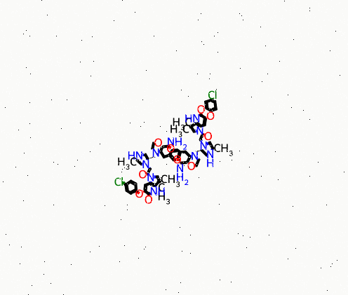 C[C@@H]1CN(CC(=O)N2CC(C)(C)c3[nH]c(=O)c(Oc4ccc(Cl)cc4)cc32)[C@@H](CN2CCOC(C(N)=O)C2Cc2ccc(CC3C(C(N)=O)OCCN3C[C@H]3CN[C@H](C)CN3CC(=O)N3CC(C)(C)c4[nH]c(=O)c(Oc5ccc(Cl)cc5)cc43)cc2)CN1